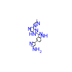 Cc1cn(-c2cncc3[nH]c(-c4n[nH]c5ccc(-c6cncc(N)c6)cc45)nc23)cn1